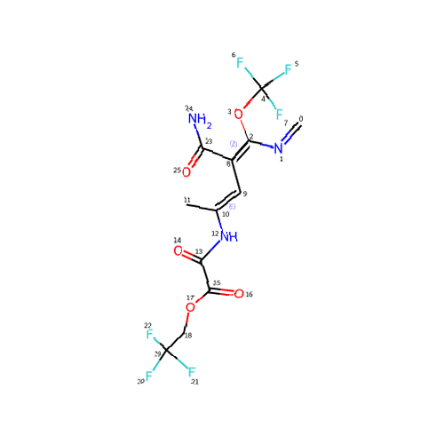 C=N/C(OC(F)(F)F)=C(\C=C(/C)NC(=O)C(=O)OCC(F)(F)F)C(N)=O